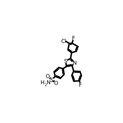 NS(=O)(=O)c1ccc(-c2sc(-c3ccc(F)c(Cl)c3)nc2-c2ccc(F)cc2)cc1